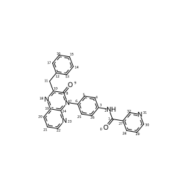 O=C(Nc1ccc(-n2c(=O)c(Cc3ccccc3)nc3cccnc32)cc1)c1cccnc1